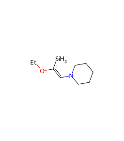 CCOC([SiH3])=CN1CCCCC1